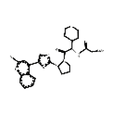 CNCC(=O)N[C@H](C(=O)N1CCC[C@H]1c1nc(-c2cc(C(C)C)nc3ccccc23)cs1)C1CCOCC1